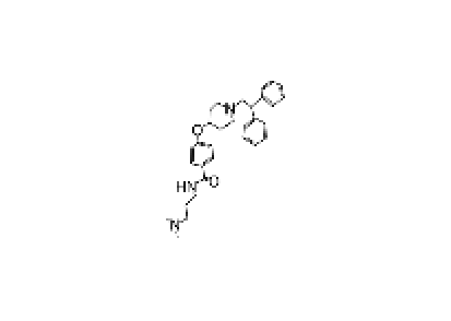 CN(C)CCCNC(=O)c1ccc(OC2CCN(CC(c3ccccc3)c3ccccc3)CC2)cc1